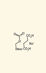 CCCCCCCCCCO[S-](=O)=O.O=C(O)CCC(=O)O.[Na+]